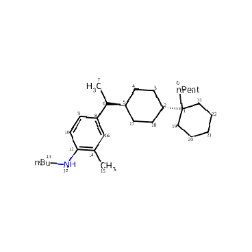 CCCCCC1([C@H]2CC[C@H](C(C)c3ccc(NCCCC)c(C)c3)CC2)CCCCC1